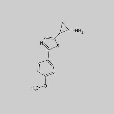 COc1ccc(-c2ncc(C3CC3N)s2)cc1